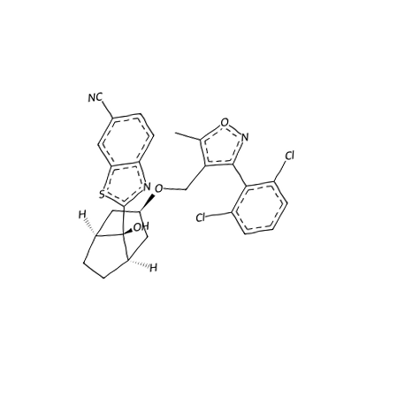 Cc1onc(-c2c(Cl)cccc2Cl)c1CO[C@H]1C[C@H]2CC[C@@H](C1)[C@]2(O)c1nc2ccc(C#N)cc2s1